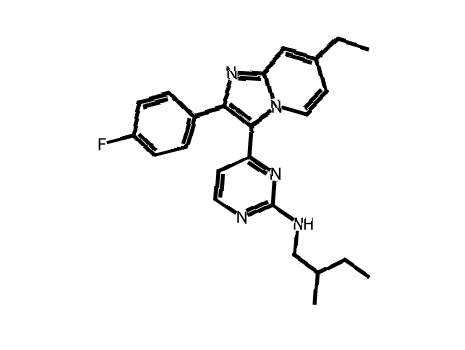 CCc1ccn2c(-c3ccnc(NCC(C)CC)n3)c(-c3ccc(F)cc3)nc2c1